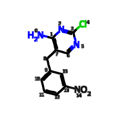 Nc1nc(Cl)ncc1Cc1cccc([N+](=O)[O-])c1